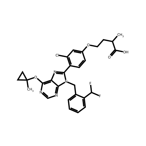 CC(CCOc1ccc(-c2nc3c(OC4(C)CC4)ncnc3n2Cc2ccccc2C(F)F)c(Cl)c1)C(=O)O